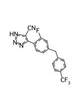 N#Cc1[nH]nnc1-c1ccc(Cc2ccc(C(F)(F)F)cc2)cc1F